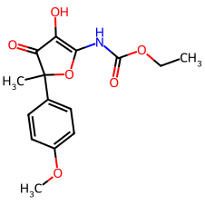 CCOC(=O)NC1=C(O)C(=O)C(C)(c2ccc(OC)cc2)O1